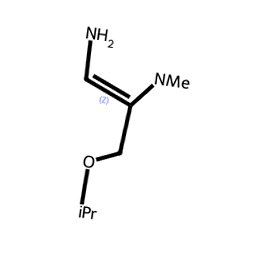 CN/C(=C\N)COC(C)C